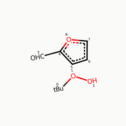 CC(C)(C)OO.O=Cc1ccco1